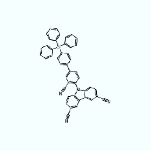 N#Cc1ccc2c(c1)c1cc(C#N)ccc1n2-c1ccc(-c2ccc([Si](c3ccccc3)(c3ccccc3)c3ccccc3)cc2)cc1C#N